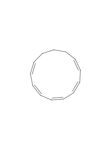 C1=CC=CC=CCCCC=CC=C1